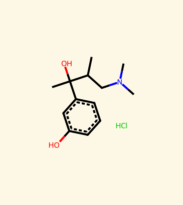 CC(CN(C)C)C(C)(O)c1cccc(O)c1.Cl